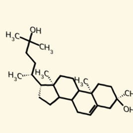 C[C@H](CCC(C)(C)O)[C@H]1CCC2C3CC=C4C[C@](C)(O)CC[C@]4(C)C3CC[C@@]21C